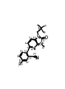 Cn1c(=O)n(CC(C)(C)C)c2ccc(-c3ccc(F)cc3C#N)nc21